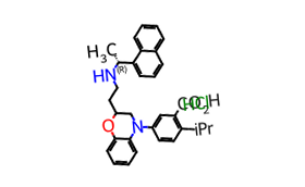 CC(C)c1ccc(N2CC(CCN[C@H](C)c3cccc4ccccc34)Oc3ccccc32)cc1C(=O)O.Cl